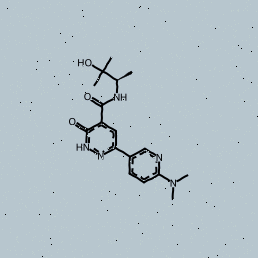 C[C@@H](NC(=O)c1cc(-c2ccc(N(C)C)nc2)n[nH]c1=O)C(C)(C)O